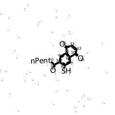 CCCCCC(=O)c1cc2c(cc1S)C(=O)C=CC2=O